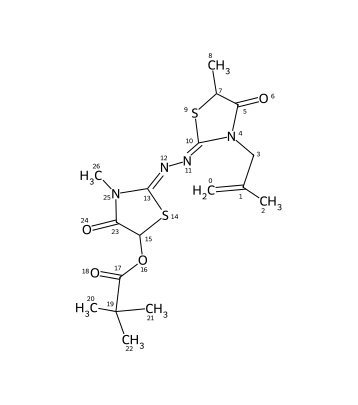 C=C(C)CN1C(=O)C(C)SC1=NN=C1SC(OC(=O)C(C)(C)C)C(=O)N1C